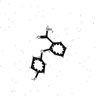 NC(=O)c1ccccc1Oc1ccc(F)cc1